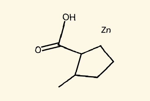 CC1CCCC1C(=O)O.[Zn]